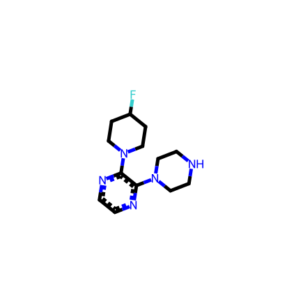 FC1CCN(c2nccnc2N2CCNCC2)CC1